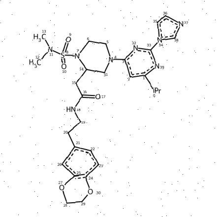 CC(C)c1cc(N2CCN(S(=O)(=O)N(C)C)C(CC(=O)NCCc3ccc4c(c3)OCCO4)C2)nc(-n2ccnc2)n1